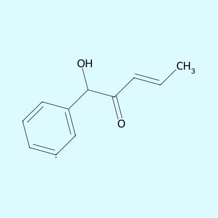 CC=CC(=O)C(O)c1c[c]ccc1